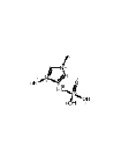 CCC[n+]1ccn(C)c1.O=P(O)(O)O